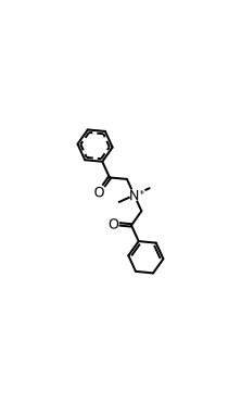 C[N+](C)(CC(=O)C1=CCCC=C1)CC(=O)c1ccccc1